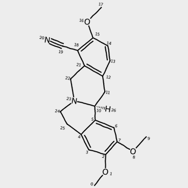 COc1cc2c(cc1OC)[C@@H]1Cc3ccc(OC)c(C#N)c3CN1CC2